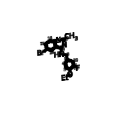 CCOc1ccc(CNc2nc(C)nc3ccc(Br)cc23)cc1F